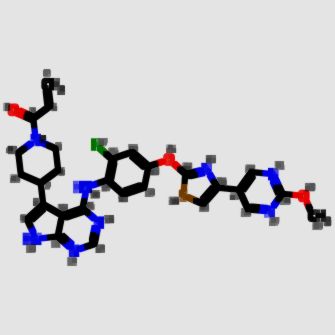 C=CC(=O)N1CCC(c2c[nH]c3ncnc(Nc4ccc(Oc5nc(-c6cnc(OC)nc6)cs5)cc4F)c23)CC1